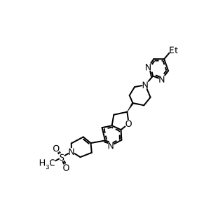 CCc1cnc(N2CCC([C@@H]3Cc4cc(C5=CCN(S(C)(=O)=O)CC5)ncc4O3)CC2)nc1